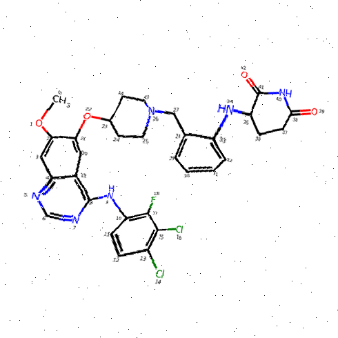 COc1cc2ncnc(Nc3ccc(Cl)c(Cl)c3F)c2cc1OC1CCN(Cc2ccccc2NC2CCC(=O)NC2=O)CC1